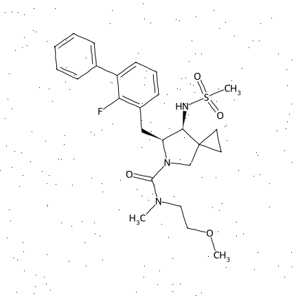 COCCN(C)C(=O)N1CC2(CC2)[C@H](NS(C)(=O)=O)[C@@H]1Cc1cccc(-c2ccccc2)c1F